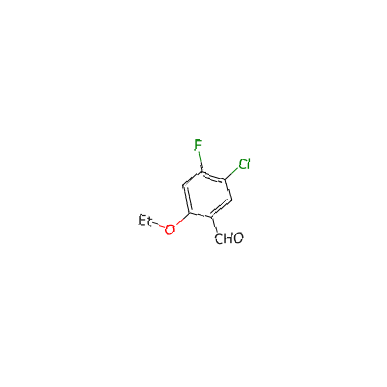 CCOc1cc(F)c(Cl)cc1C=O